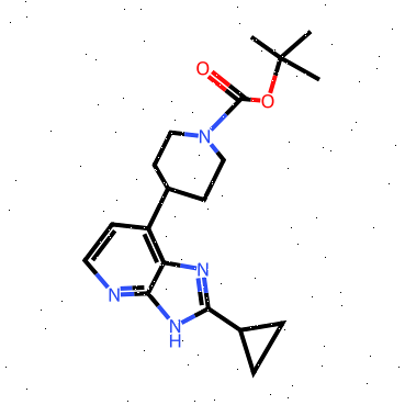 CC(C)(C)OC(=O)N1CCC(c2ccnc3[nH]c(C4CC4)nc23)CC1